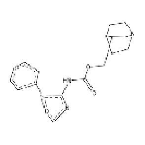 O=C(Nc1ncoc1-c1ccccc1)OCC1CN2CCC1CC2